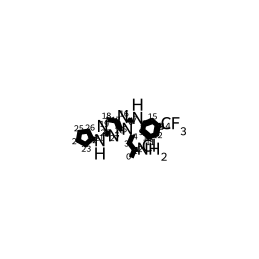 CC(N)CCn1c(Nc2cc(Cl)cc(C(F)(F)F)c2)nc2cnc(NC3CCCC3)nc21